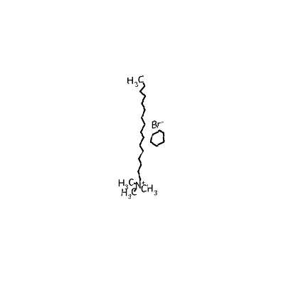 C1CCCCC1.CCCCCCCCCCCCCCCC[N+](C)(C)C.[Br-]